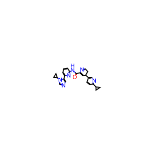 O=C(Nc1cccc(-c2cncn2C2CC2)n1)C1=CC(c2ccc(C3CC3)nc2)CC=N1